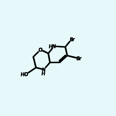 OC1COC2NC(Br)C(Br)=CC2N1